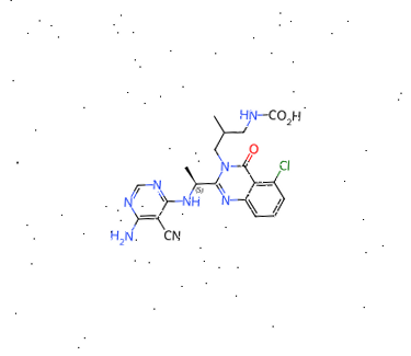 CC(CNC(=O)O)Cn1c([C@H](C)Nc2ncnc(N)c2C#N)nc2cccc(Cl)c2c1=O